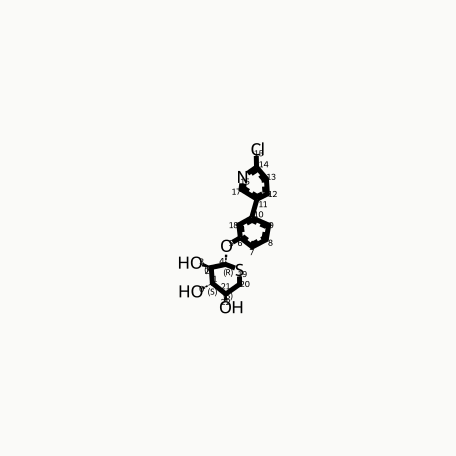 O[C@@H]1[C@@H](O)[C@H](Oc2cccc(-c3ccc(Cl)nc3)c2)SC[C@H]1O